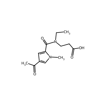 CCN(CCC(=O)O)C(=O)c1cc(C(C)=O)cn1C